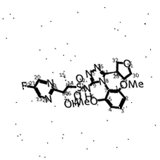 COc1cccc(OC)c1-n1c(NS(=O)(=O)[C@@H](C)[C@H](O)c2ncc(F)cn2)nnc1[C@@H]1CCOC1